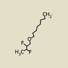 [CH2]CCCCCCCOCC(F)C(C)F